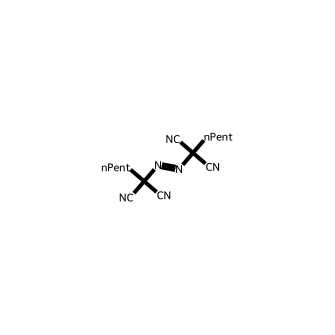 CCCCCC(C#N)(C#N)/N=N/C(C#N)(C#N)CCCCC